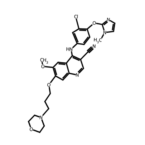 COc1cc2c(Nc3ccc(Oc4nccn4C)c(Cl)c3)c(C#N)cnc2cc1OCCCN1CCOCC1